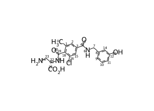 Cc1cc(C(=O)NCc2cccc(O)c2)cc(Cl)c1C(=O)N[C@@H](CN)C(=O)O